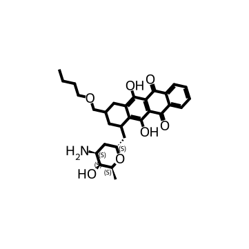 CCCCOCC1Cc2c(O)c3c(c(O)c2C(C[C@H]2C[C@H](N)[C@H](O)[C@H](C)O2)C1)C(=O)c1ccccc1C3=O